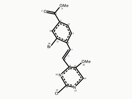 COC(=O)c1ccc(/C=C/c2nc(Cl)ncc2OC)c(Br)c1